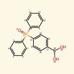 O=P(c1ccccc1)(c1ccccc1)c1ccc(B(O)O)cc1